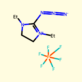 CCN1CC[N+](CC)=C1N=[N+]=[N-].F[P-](F)(F)(F)(F)F